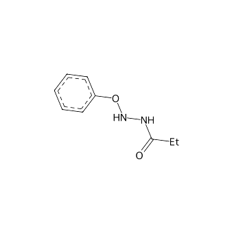 CCC(=O)NNOc1ccccc1